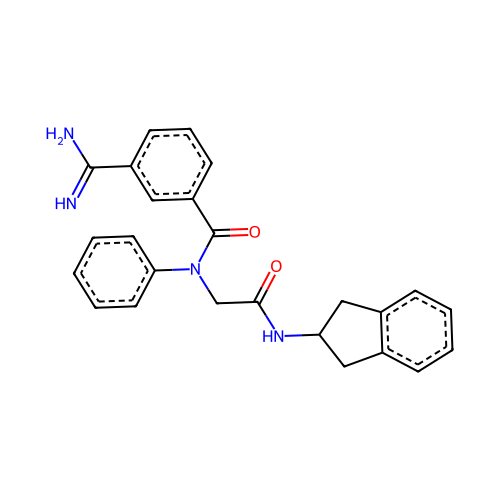 N=C(N)c1cccc(C(=O)N(CC(=O)NC2Cc3ccccc3C2)c2ccccc2)c1